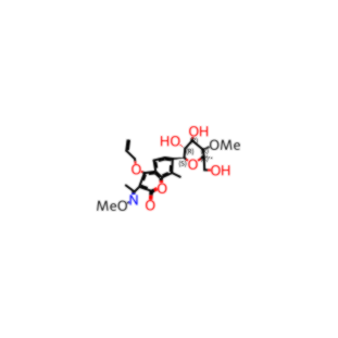 C=CCOc1c(C(C)=NOC)c(=O)oc2c(C)c([C@@H]3O[C@](C)(CO)[C@H](OC)[C@H](O)[C@H]3O)ccc12